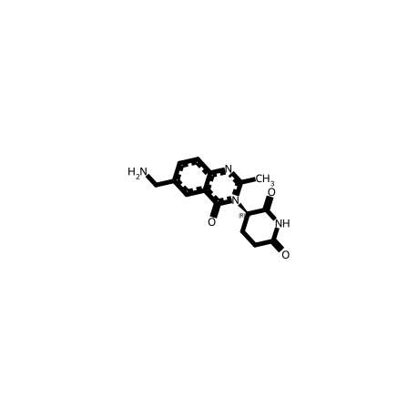 Cc1nc2ccc(CN)cc2c(=O)n1[C@@H]1CCC(=O)NC1=O